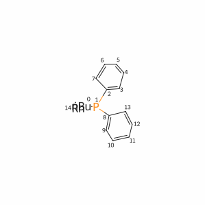 CCCCP(c1ccccc1)c1ccccc1.[Rh]